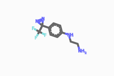 NCCNc1ccc(C2(C(F)(F)F)N=N2)cc1